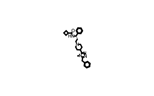 Cn1c(Cc2ccccc2)nnc1C1CCN(CC[C@H](NC(=O)C2CCC2)c2ccccc2)CC1